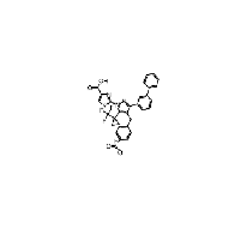 O=C(O)c1csc(-n2nc(-c3cccc(-c4ccccc4)c3)c(Cc3ccc([SH](=O)=O)cc3)c2C2(C(F)(F)F)CC2)n1